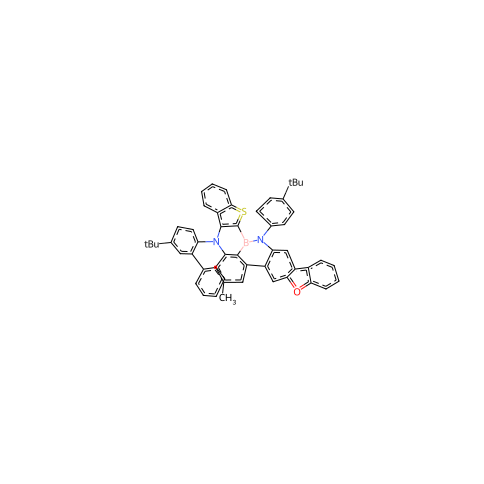 Cc1cc2c3c(c1)N(c1ccc(C(C)(C)C)cc1-c1ccccc1)c1c(sc4ccccc14)B3N(c1ccc(C(C)(C)C)cc1)c1cc3c(cc1-2)oc1ccccc13